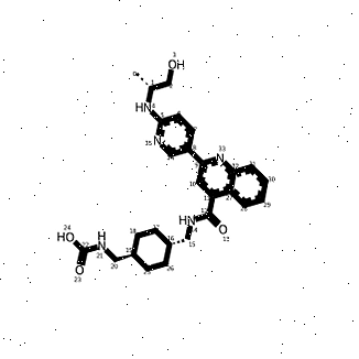 C[C@H](CO)Nc1ccc(-c2cc(C(=O)NC[C@H]3CC[C@H](CNC(=O)O)CC3)c3ccccc3n2)cn1